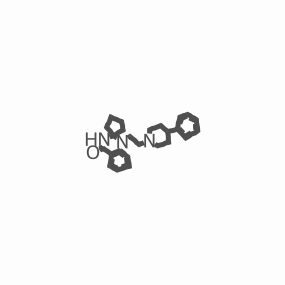 O=C1NC2(CCCC2)N(CCN2CCC(c3ccccc3)CC2)c2ccccc21